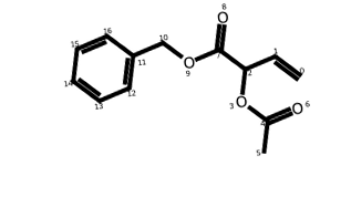 C=CC(OC(C)=O)C(=O)OCc1ccccc1